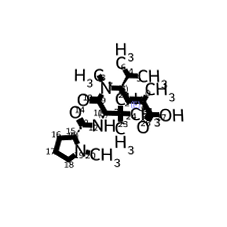 C/C(=C\[C@H](C(C)C)N(C)C(=O)[C@@H](NC(=O)[C@H]1CCCN1C)C(C)(C)C)C(=O)O